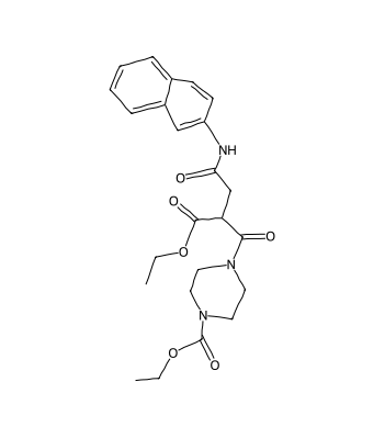 CCOC(=O)C(CC(=O)Nc1ccc2ccccc2c1)C(=O)N1CCN(C(=O)OCC)CC1